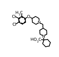 Cc1c(OC2CCN(CC3CCN(C4(C(=O)O)CCCCC4)CC3)CC2)ccc(Cl)c1Cl